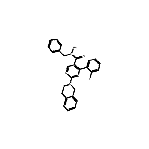 CC(C)N(Cc1ccccc1)C(=O)c1cnc(N2CCc3ccccc3C2)nc1-c1ccccc1F